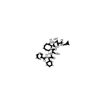 CCCC(NC(=O)[C@@H]1C(C)CCCCCN1C(=O)C(NC(=O)[C@@H](NC(=O)c1cnccn1)C1CCCCC1)C(C)(C)C)C(=O)C(=O)NC1CC1